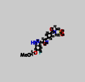 COCCOc1cc2[nH]nc(-c3cc(-c4ccc(C(=O)N5CCS(=O)(=O)CC5C)cc4)no3)c2cc1F